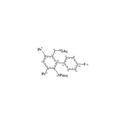 CCCCCc1c(C(C)C)cc(C(C)C)c(COC(C)=O)c1-c1ccc(F)cc1